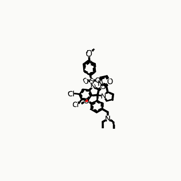 CCN(CC)Cc1ccc(OC)c(C2(N3CCCC3c3ncco3)C(=O)N(S(=O)(=O)c3ccc(OC)cc3)c3cc(Cl)c(Cl)cc32)c1